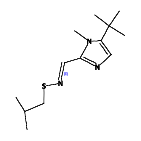 CC(C)CS/N=C/c1ncc(C(C)(C)C)n1C